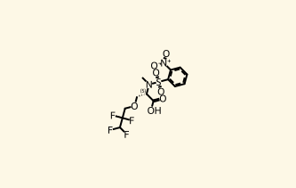 CN([C@@H](COCC(F)(F)C(F)F)C(=O)O)S(=O)(=O)c1ccccc1[N+](=O)[O-]